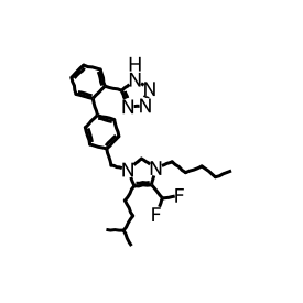 CCCCCN1CN(Cc2ccc(-c3ccccc3-c3nnn[nH]3)cc2)C(CCC(C)C)=C1C(F)F